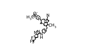 Cc1c(CN2CCC(Nc3ncnc4sc(CC(F)(F)F)cc34)CC2)ccc2c1cc(C#N)n2CC(C1CC1)N1CCN([S+](C)[O-])CC1